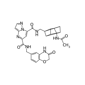 CC(=O)NC12C3C4C1C1C2C3C41CNC(=O)c1cc(C(=O)NCc2ccc3c(c2)NC(=O)CO3)nc2ccnn12